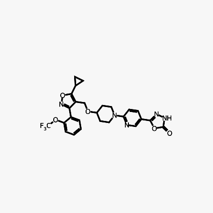 O=c1[nH]nc(-c2ccc(N3CCC(OCc4c(-c5ccccc5OC(F)(F)F)noc4C4CC4)CC3)nc2)o1